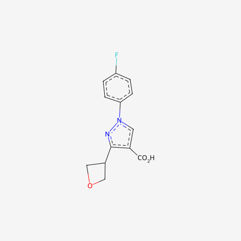 O=C(O)c1cn(-c2ccc(F)cc2)nc1C1COC1